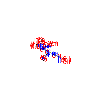 C[C@@H]1O[C@@H](OCCNC(=O)CCCCC(=O)NCCCC[C@H](NC(=O)CCCCC(=O)ON2C(=O)CCC2=O)C(=O)NCCCC[C@@H](C(=O)NCCO[C@@H]2O[C@@H](C)[C@@H](O)[C@@H](O)[C@@H]2O)N(CC(=O)NCCO[C@@H]2O[C@@H](C)[C@@H](O)[C@@H](O)[C@@H]2O)CC(=O)NCCO[C@@H]2O[C@@H](C)[C@@H](O)[C@@H](O)[C@@H]2O)[C@@H](O)[C@H](O)[C@@H]1O